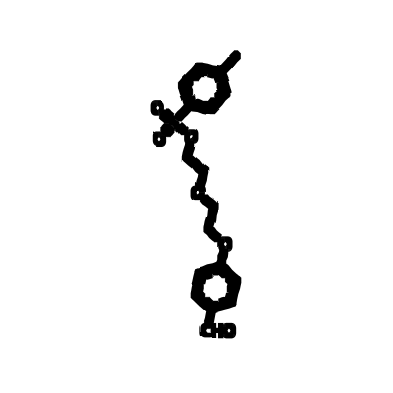 Cc1ccc(S(=O)(=O)OCCOCCOc2ccc(C=O)cc2)cc1